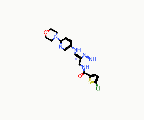 N=N/C(=C\Nc1ccc(N2CCOCC2)nc1)CNC(=O)c1ccc(Cl)s1